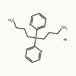 CCC[CH2][Pb]([CH2]CCC)([c]1ccccn1)[c]1ccccn1.I